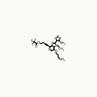 CCn1c(-c2nonc2N)nc2c(C#CCCOC(=O)C(F)(F)F)ncc(OCCCN)c21